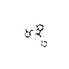 O=C(O)c1c(CNC2CCCC2)c2cccc(F)c2n1Cc1ccccc1Cl